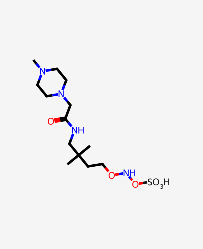 CN1CCN(CC(=O)NCC(C)(C)CCONOS(=O)(=O)O)CC1